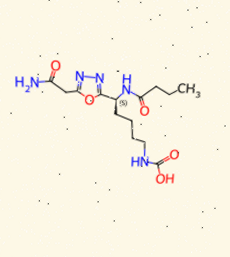 CCCC(=O)N[C@@H](CCCCNC(=O)O)c1nnc(CC(N)=O)o1